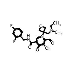 CCN(C)CC1(n2cc(C(=O)NCc3ccc(F)cc3F)c(=O)c(O)c2C=O)COC1